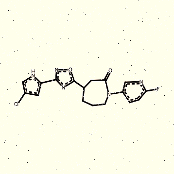 O=C1CC(c2nc(-c3cc(Cl)c[nH]3)no2)CCCN1c1ccc(F)nc1